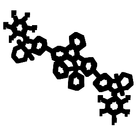 CC12CCCCC1(C)N(c1c(F)c(F)c(F)c(F)c1F)c1ccc(-c3ccc4c(c3)C(c3ccccc3)(c3ccccc3)c3c-4c4ccccc4c4cc(-c5ccc6c(c5)C5(C)CCCCC5(C)N6c5c(F)c(F)c(F)c(F)c5F)ccc34)cc12